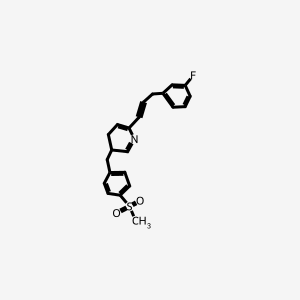 CS(=O)(=O)c1ccc(CC2C=NC(C#CCc3cccc(F)c3)=CC2)cc1